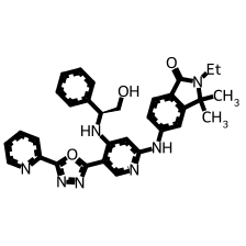 CCN1C(=O)c2ccc(Nc3cc(N[C@H](CO)c4ccccc4)c(-c4nnc(-c5ccccn5)o4)cn3)cc2C1(C)C